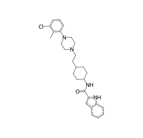 Cc1c(Cl)cccc1N1CCN(CCC2CCC(NC(=O)c3cc4ccccc4[nH]3)CC2)CC1